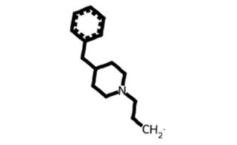 [CH2]CCN1CCC(Cc2ccccc2)CC1